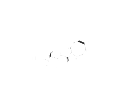 CC(C)C(=O)CCC(=O)N1CCC#CCCC1